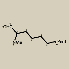 CCCCCCCCCC([C]=O)NC